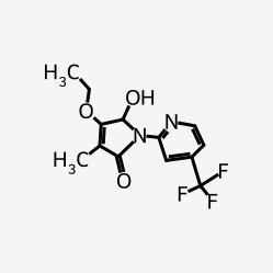 CCOC1=C(C)C(=O)N(c2cc(C(F)(F)F)ccn2)C1O